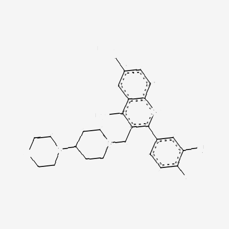 Cl.O=C(O)c1c(CN2CCC(N3CCOCC3)CC2)c(-c2ccc(Cl)c(C(F)(F)F)c2)nc2ccc(Cl)cc12